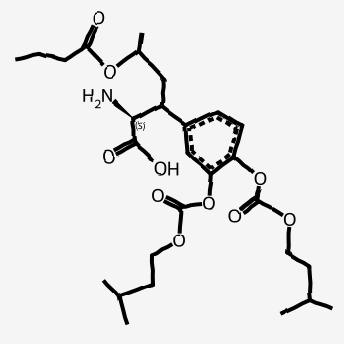 CCCC(=O)OC(C)CC(c1ccc(OC(=O)OCCC(C)C)c(OC(=O)OCCC(C)C)c1)[C@H](N)C(=O)O